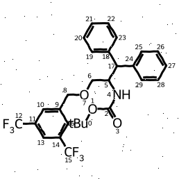 CC(C)(C)OC(=O)NC(COCc1cc(C(F)(F)F)cc(C(F)(F)F)c1)C(c1ccccc1)c1ccccc1